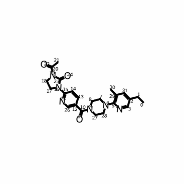 CCc1cnc(N2CCN(C(=O)c3ccc(N4CCN(C(C)=O)C4=O)nc3)CC2)c(C)c1